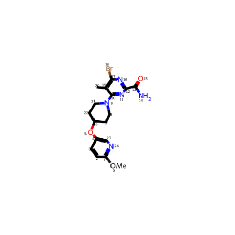 COc1ccc(OC2CCN(c3nc(C(N)=O)nc(Br)c3C)CC2)cn1